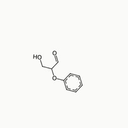 O=CC(CO)Oc1ccccc1